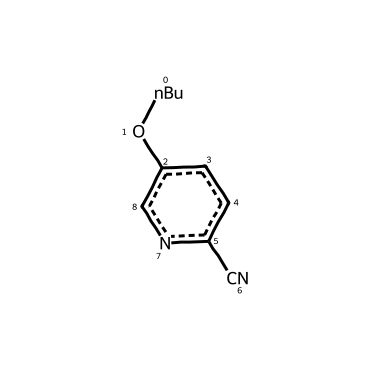 CCCCOc1ccc(C#N)nc1